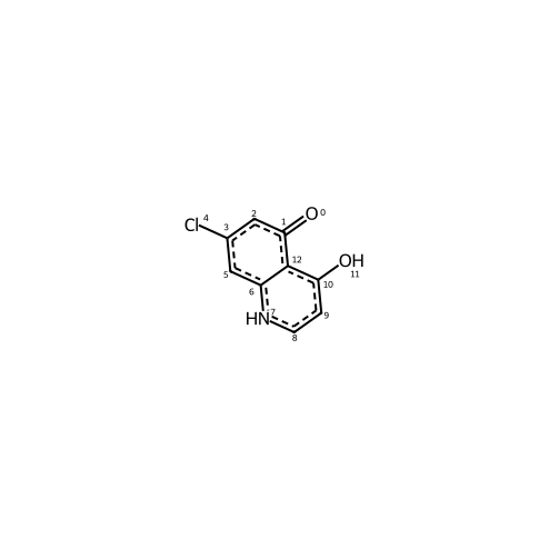 O=c1cc(Cl)cc2[nH]ccc(O)c1-2